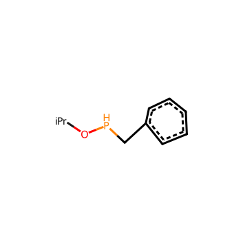 CC(C)OPCc1ccccc1